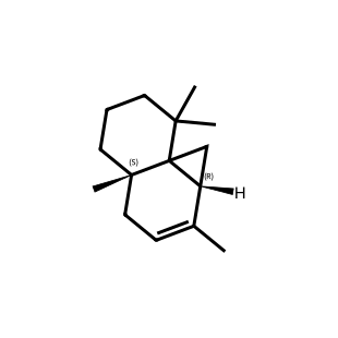 CC1=CC[C@]2(C)CCCC(C)(C)C23C[C@H]13